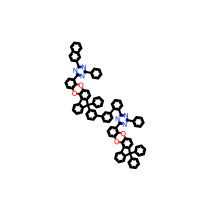 c1ccc(-c2nc(-c3ccc4ccccc4c3)nc(-c3cccc4c3Oc3ccc5c(c3O4)-c3ccccc3C5(c3ccccc3)c3cccc(-c4cccc(-c5ccccc5-c5nc(-c6ccccc6)nc(-c6cccc7c6Oc6ccc8c(c6O7)-c6ccccc6C8(c6ccccc6)c6ccccc6)n5)c4)c3)n2)cc1